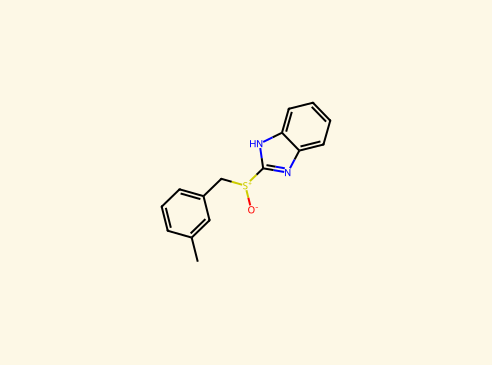 Cc1cccc(C[S+]([O-])c2nc3ccccc3[nH]2)c1